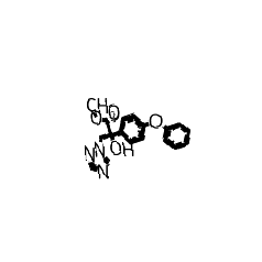 COC(=O)C(O)(Cn1cncn1)c1ccc(Oc2ccccc2)cc1